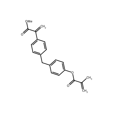 C=C(C)C(=O)Oc1ccc(Cc2ccc(C(=C)C(=O)OC)cc2)cc1